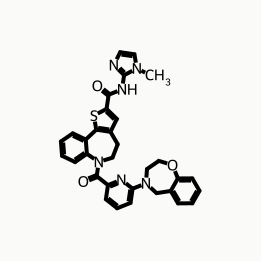 Cn1ccnc1NC(=O)c1cc2c(s1)-c1ccccc1N(C(=O)c1cccc(N3CCOc4ccccc4C3)n1)CC2